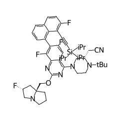 CC(C)[Si](C#Cc1c(F)ccc2cccc(-c3c(F)cc4c(N5CCN(C(C)(C)C)[C@@H](CC#N)C5)nc(OC[C@@]56CCCN5C[C@H](F)C6)nc4c3F)c12)(C(C)C)C(C)C